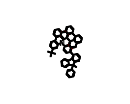 CC(C)(C)c1ccc(-c2ccccc2)c(N(c2ccc(-c3cccc4c3-c3ccccc3C4(C)c3ccccc3)cc2)c2ccccc2-c2cccc3cccc(-c4ccccc4)c23)c1